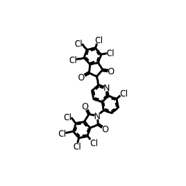 O=C1c2c(Cl)c(Cl)c(Cl)c(Cl)c2C(=O)C1c1ccc2c(N3C(=O)c4c(Cl)c(Cl)c(Cl)c(Cl)c4C3=O)ccc(Cl)c2n1